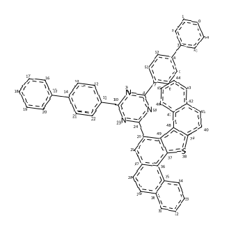 c1ccc(-c2ccc(-c3nc(-c4ccc(-c5ccccc5)cc4)nc(-c4cc5ccc6ccccc6c5c5sc6ccc7ccccc7c6c45)n3)cc2)cc1